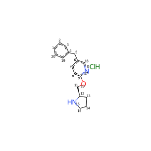 Cl.c1ccc(Cc2ccc(OC[C@H]3CCCN3)nc2)cc1